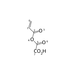 C=CC(=O)OC(=O)C(=O)O